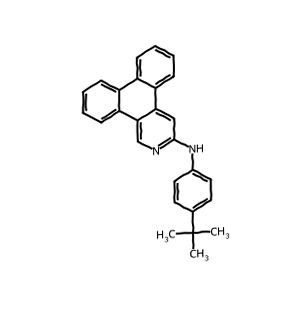 CC(C)(C)c1ccc(Nc2cc3c4ccccc4c4ccccc4c3cn2)cc1